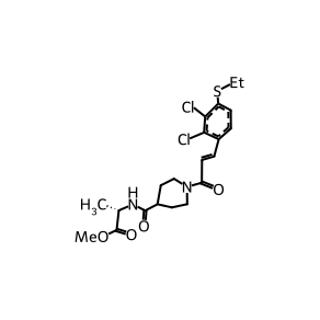 CCSc1ccc(/C=C/C(=O)N2CCC(C(=O)N[C@@H](C)C(=O)OC)CC2)c(Cl)c1Cl